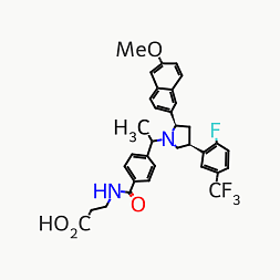 COc1ccc2cc([C@H]3C[C@@H](c4cc(C(F)(F)F)ccc4F)CN3C(C)c3ccc(C(=O)NCCC(=O)O)cc3)ccc2c1